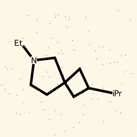 CCN1CCC2(CC(C(C)C)C2)C1